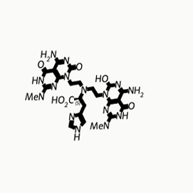 CNc1nc2c(c(=O)[nH]1)C(N)=NC(O)N2CCN(CCn1c(=O)nc(N)c2c(=O)[nH]c(NC)nc21)[C@@H](Cc1c[nH]cn1)C(=O)O